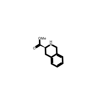 COC(=O)[C@@H]1Cc2ccccc2CN1